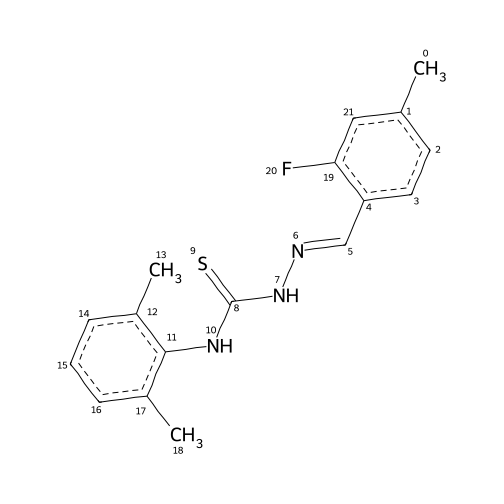 Cc1ccc(/C=N/NC(=S)Nc2c(C)cccc2C)c(F)c1